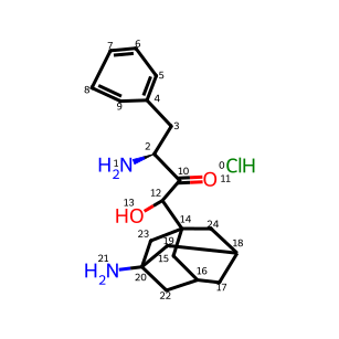 Cl.N[C@@H](Cc1ccccc1)C(=O)C(O)C12CC3CC(CC(N)(C3)C1)C2